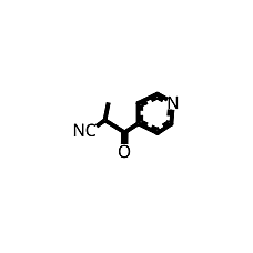 CC(C#N)C(=O)c1ccncc1